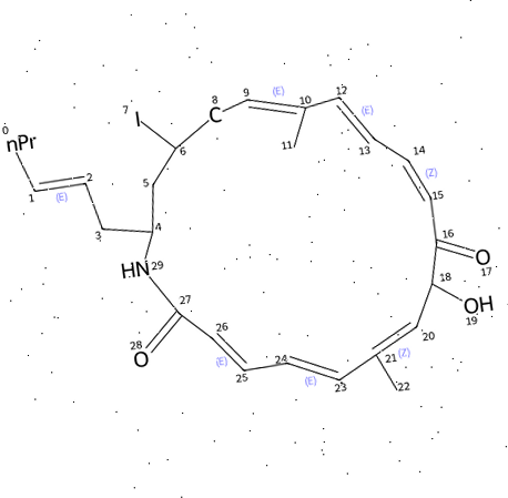 CCC/C=C/CC1CC(I)C/C=C(C)/C=C/C=C\C(=O)C(O)\C=C(C)/C=C/C=C/C(=O)N1